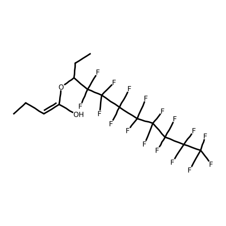 CCC=C(O)OC(CC)C(F)(F)C(F)(F)C(F)(F)C(F)(F)C(F)(F)C(F)(F)C(F)(F)C(F)(F)F